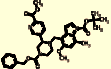 COC(=O)c1ccc(C2CN(C(=O)OCc3ccccc3)CCN2Cc2c(OC)cc(C)c3c2ccn3C(=O)OC(C)(C)C)cn1